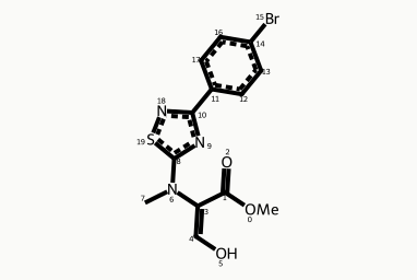 COC(=O)C(=CO)N(C)c1nc(-c2ccc(Br)cc2)ns1